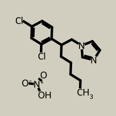 CCCCCC(Cn1ccnc1)c1ccc(Cl)cc1Cl.O=[N+]([O-])O